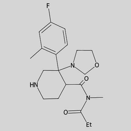 CCC(=O)N(C)C(=O)C1CCNCC1(c1ccc(F)cc1C)N1CCOC1